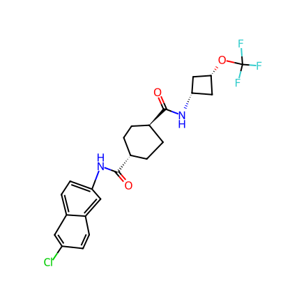 O=C(Nc1ccc2cc(Cl)ccc2c1)[C@H]1CC[C@H](C(=O)N[C@H]2C[C@@H](OC(F)(F)F)C2)CC1